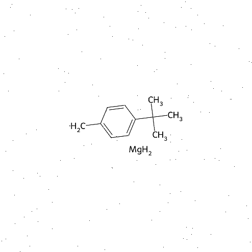 [CH2]c1ccc(C(C)(C)C)cc1.[MgH2]